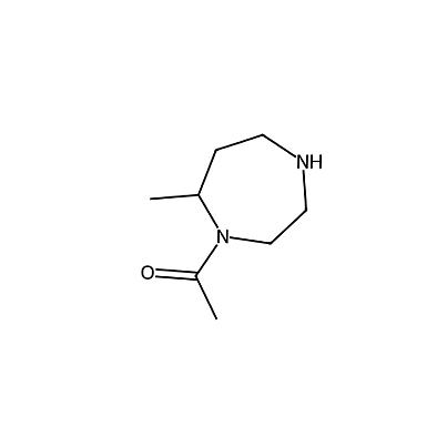 CC(=O)N1CCNCCC1C